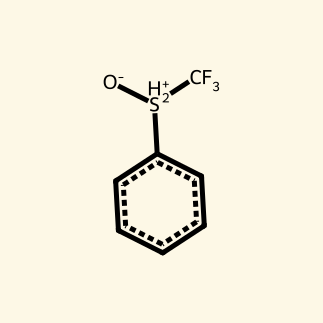 [O-][SH2+](c1ccccc1)C(F)(F)F